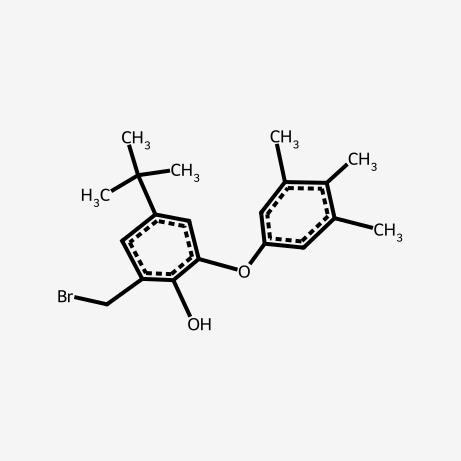 Cc1cc(Oc2cc(C(C)(C)C)cc(CBr)c2O)cc(C)c1C